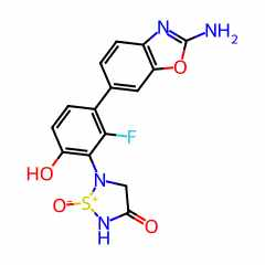 Nc1nc2ccc(-c3ccc(O)c(N4CC(=O)N[S+]4[O-])c3F)cc2o1